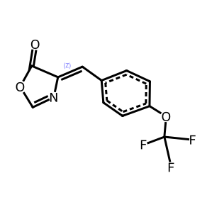 O=C1OC=N/C1=C\c1ccc(OC(F)(F)F)cc1